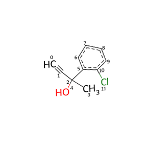 C#CC(C)(O)c1ccccc1Cl